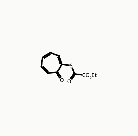 CCOC(=O)C(=O)Sc1cccccc1=O